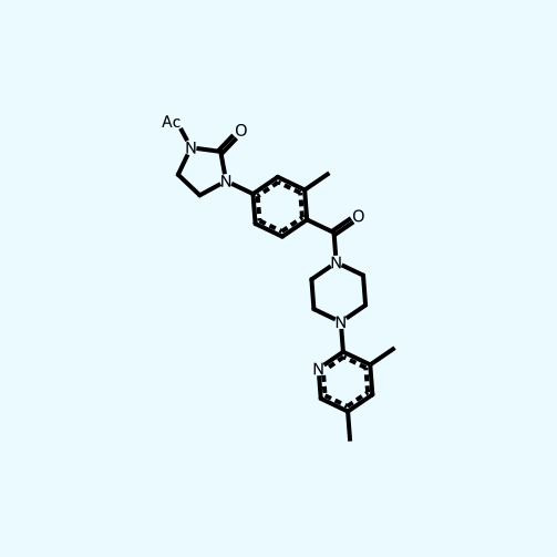 CC(=O)N1CCN(c2ccc(C(=O)N3CCN(c4ncc(C)cc4C)CC3)c(C)c2)C1=O